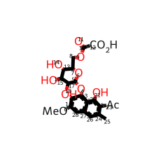 COc1cc(OC2OC(COC(=O)C(=O)O)C(O)C(O)C2O)c2c(O)c(C(C)=O)c(C)cc2c1